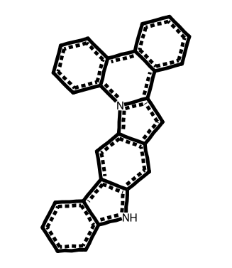 c1ccc2c(c1)[nH]c1cc3cc4c5ccccc5c5ccccc5n4c3cc12